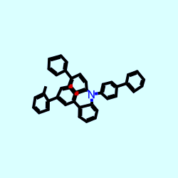 Cc1ccccc1-c1cccc(-c2ccccc2N(c2ccc(-c3ccccc3)cc2)c2ccc(-c3ccccc3)cc2)c1